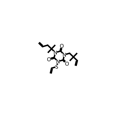 C=CCC(C)(C)n1c(=O)n(CC(C)(C)C=C)c(=O)n(SC=C)c1=O